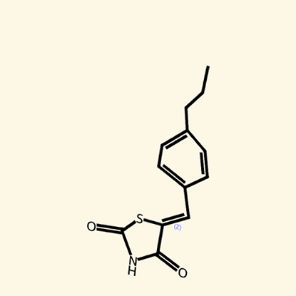 CCCc1ccc(/C=C2\SC(=O)NC2=O)cc1